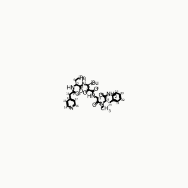 CC[C@H](C)C(NC(=O)[C@H](CC(C)C)NC(=O)Cc1ccncc1)C(=O)C(=O)NCC(=O)N(C)[C@@H](Cc1ccccc1)C(N)=O